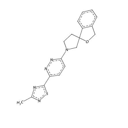 Cc1nsc(-c2ccc(N3CCC4(C3)OCc3ccccc34)nn2)n1